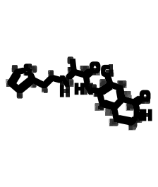 CC(NCCc1cccs1)C(=O)Nc1cc2cc[nH]c(=O)c2cc1Cl